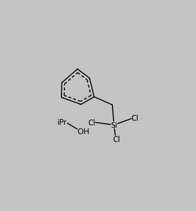 CC(C)O.Cl[Si](Cl)(Cl)Cc1ccccc1